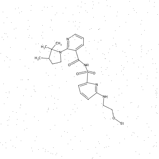 CCOCCNc1cccc(S(=O)(=O)NC(=O)c2cccnc2N2CCC(C)C2(C)C)n1